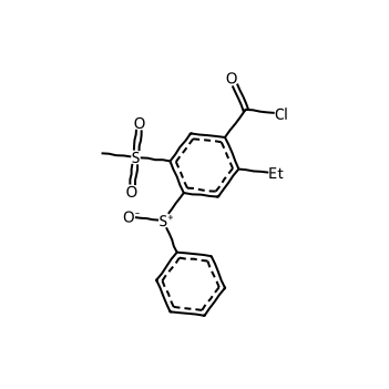 CCc1cc([S+]([O-])c2ccccc2)c(S(C)(=O)=O)cc1C(=O)Cl